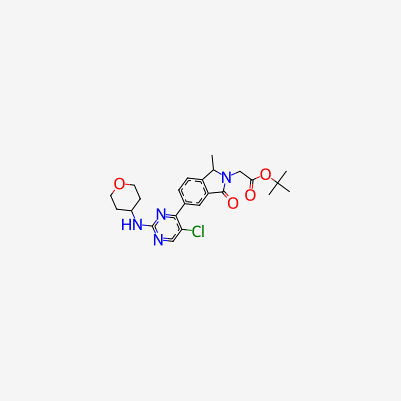 CC1c2ccc(-c3nc(NC4CCOCC4)ncc3Cl)cc2C(=O)N1CC(=O)OC(C)(C)C